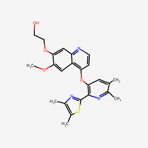 COc1cc2c(Oc3cc(C)c(C)nc3-c3nc(C)c(C)s3)ccnc2cc1OCCO